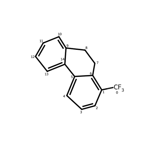 FC(F)(F)c1cccc2c1CCc1ccccc1-2